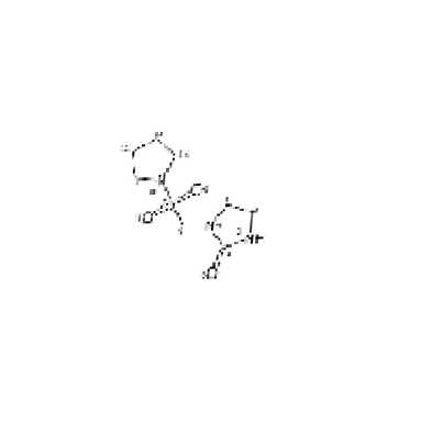 O=C1NCCN1CS(=O)(=O)N1CCCC1